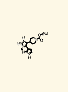 CC(C)(C)OC(=O)N1CCC(C2=C3c4cc[nH]c4N=CN3NN2)CC1